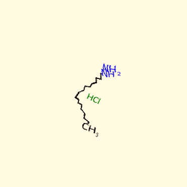 CCCCCCCC/C=C\CCCCCCCCNN.Cl